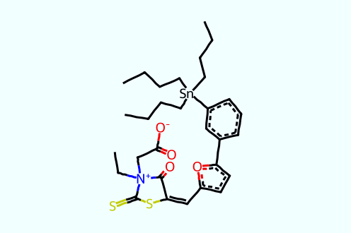 CCC[CH2][Sn]([CH2]CCC)([CH2]CCC)[c]1cccc(-c2ccc(C=C3SC(=S)[N+](CC)(CC(=O)[O-])C3=O)o2)c1